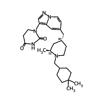 C[C@H]1C[C@H](Cc2ccn3ncc(N4CCC(=O)NC4=O)c3c2)CCN1CC1CCC(C)(C)CC1